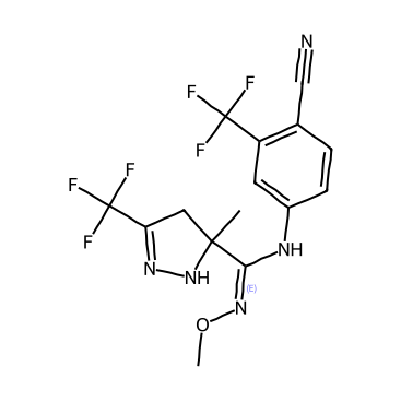 CO/N=C(/Nc1ccc(C#N)c(C(F)(F)F)c1)C1(C)CC(C(F)(F)F)=NN1